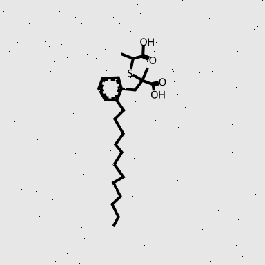 CCCCCCCCCCCCc1ccccc1CC(C)(SC(C)C(=O)O)C(=O)O